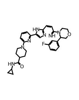 N=C(/C=C\c1ncc(-c2cccc(N3CCC(C(=O)NC4CC4)CC3)n2)[nH]1)N1CCOCC1c1cccc(F)c1